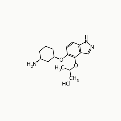 CC(C)Oc1c(O[C@@H]2CCC[C@H](N)C2)ccc2[nH]ncc12.Cl